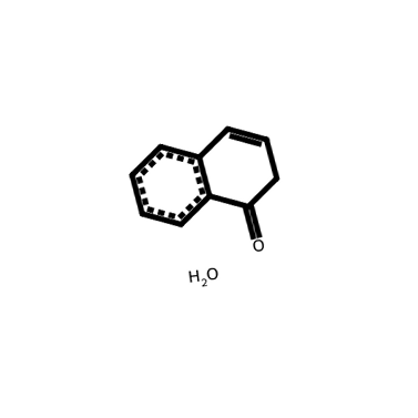 O.O=C1CC=Cc2ccccc21